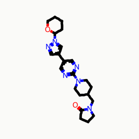 O=C1CCCN1CC1CCN(c2ncc(-c3cnn(C4CCCCO4)c3)cn2)CC1